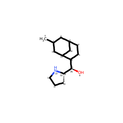 CC1CC2CCC([C@@H](O)[C@@H]3CCCN3)C(C1)C2